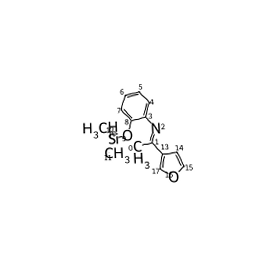 CC(=Nc1ccccc1O[SiH](C)C)c1ccoc1